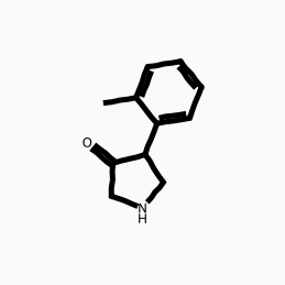 Cc1ccccc1C1CNCC1=O